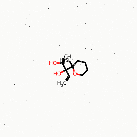 C=CC(O)(C(=C)O)C1([SiH3])CCCCO1